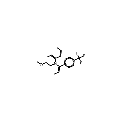 C/C=C\C(=C\C)N(CCOC)/C(=C\C)c1ccc(C(F)(F)F)cc1